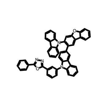 c1ccc(-c2nnc(-c3cccc(-n4c5ccccc5c5cc(-c6cc7c(cc6-n6c8ccccc8c8ccccc86)oc6ccccc67)ccc54)c3)o2)cc1